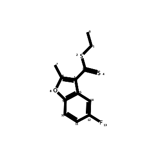 CCSC(=S)c1c(C)oc2ccc(F)cc12